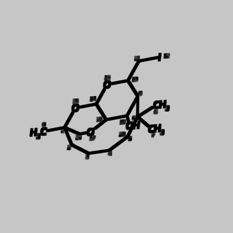 CC12CCCCC(C)(C)C3C(CI)OC(O1)C(OC2)C3O